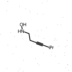 CC(C)C#CCCNO